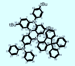 CC(C)(C)c1ccc(N2c3ccc(C(C)(C)C)cc3B3c4ccc(N(c5ccccc5)c5ccccc5)cc4N(c4cccc5c4-c4ccccc4C5(c4ccccc4)c4ccccc4)c4cc(C(C)(C)C)cc2c43)cc1